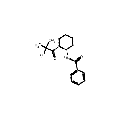 CC(C)(C)C(=O)[C@H]1CCCC[C@@H]1NC(=O)c1ccccc1